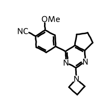 COc1cc(-c2nc(N3CCC3)nc3c2CCC3)ccc1C#N